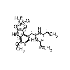 C=CCNC(Cc1ccc(OC)c2c1C(OS(C)(=O)=O)C(=O)N2)NCC=C